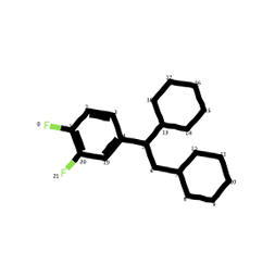 Fc1ccc(C(CC2CCCCC2)C2CCCCC2)cc1F